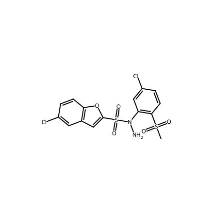 CS(=O)(=O)c1ccc(Cl)cc1N(N)S(=O)(=O)c1cc2cc(Cl)ccc2o1